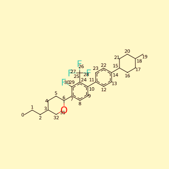 CCCC1CCC(c2ccc(-c3ccc(C4CCC(C)CC4)cc3)c(C(F)(F)F)c2F)OC1